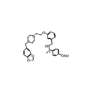 COc1ccc([C@@H](C)NCc2cccc(OCCN3CCN(Cc4ccc5c(c4)OCO5)CC3)c2)cc1